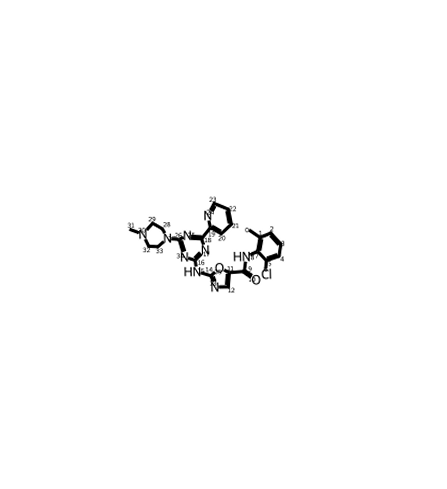 Cc1cccc(Cl)c1NC(=O)c1cnc(Nc2nc(-c3ccccn3)nc(N3CCN(C)CC3)n2)o1